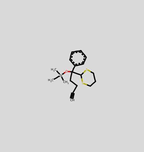 C#CCCC(O[Si](C)(C)C)(c1ccccc1)C1SCCCS1